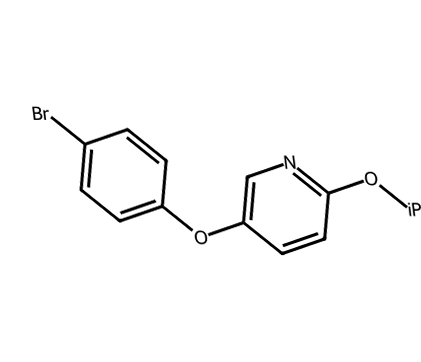 CC(C)Oc1ccc(Oc2ccc(Br)cc2)cn1